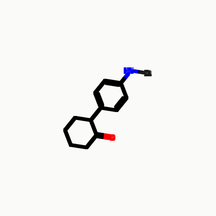 CCNc1ccc(C2CCCCC2=O)cc1